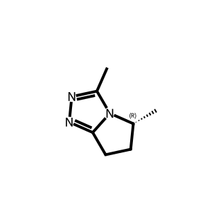 Cc1nnc2n1[C@H](C)CC2